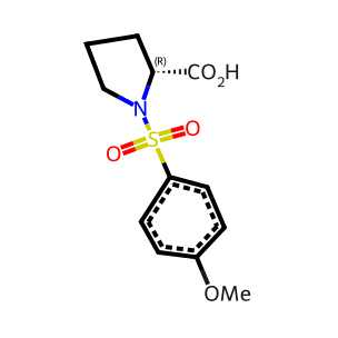 COc1ccc(S(=O)(=O)N2CCC[C@@H]2C(=O)O)cc1